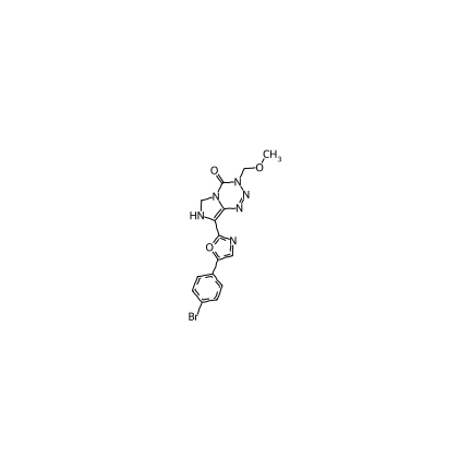 COCN1N=NC2=C(c3ncc(-c4ccc(Br)cc4)o3)NCN2C1=O